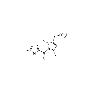 Cc1cc(CC(=O)O)n(C)c1C(=O)c1ccc(C)n1C